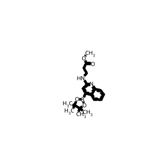 COC(=O)CCNc1cc(B2OC(C)(C)C(C)(C)O2)c2ccccc2n1